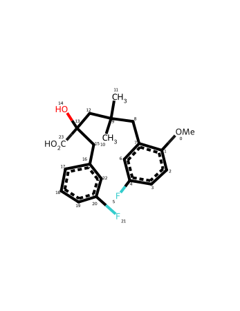 COc1ccc(F)cc1CC(C)(C)CC(O)(Cc1cccc(F)c1)C(=O)O